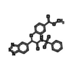 COC(=O)c1ccc(OC(C(=O)NS(=O)(=O)c2ccccc2)c2ccc3nsnc3c2)cc1